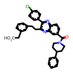 O=C(O)Cc1cccc(CCc2nc3cc(C(=O)N4CCC(c5ccccc5)CC4)ccc3nc2-c2ccc(Cl)cc2)c1